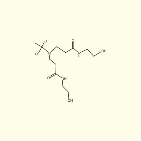 CCC(C)(CC)N(CCC(=O)NCCO)CCC(=O)NCCO